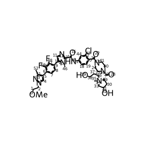 COCCn1cc(-c2ccc(-c3cnc(C(=O)Nc4ccc(C(=O)N5CCN(C(=O)[C@@H]6C[C@@H](O)C[N+]6(C)CCCO)CC5)c(Cl)c4)n3C)c(F)c2F)c(C)n1